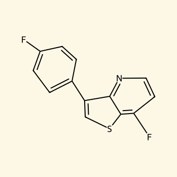 Fc1ccc(-c2csc3c(F)ccnc23)cc1